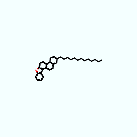 CCCCCCCCCCCCCc1ccc2c(ccc3c2ccc2oc4ccccc4c23)c1